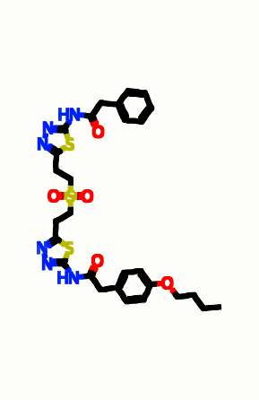 CCCCOc1ccc(CC(=O)Nc2nnc(CCS(=O)(=O)CCc3nnc(NC(=O)Cc4ccccc4)s3)s2)cc1